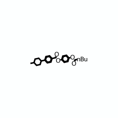 CCCCC(=O)Oc1ccc(OC(=O)c2ccc(C3CCC(C)CC3)cc2)cc1